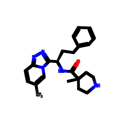 CC1(C(=O)N[C@H](CCc2ccccc2)c2nnc3ccc(C(F)(F)F)cn23)CCNCC1